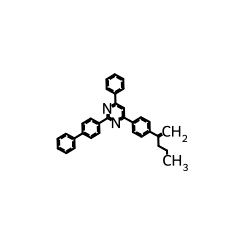 C=C(CCC)c1ccc(-c2cc(-c3ccccc3)nc(-c3ccc(-c4ccccc4)cc3)n2)cc1